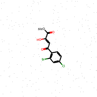 COC(=O)C(O)=CC(=O)c1ccc(Cl)cc1Br